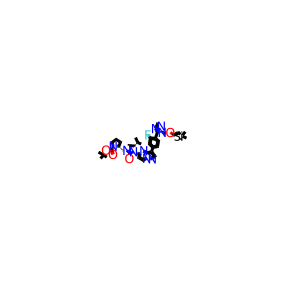 CC(C)[C@H]1CN(C[C@H]2CCCN2C(=O)OC(C)(C)C)C(=O)N1c1ccn2ncc(-c3ccc(-c4ncnn4COCC[Si](C)(C)C)c(F)c3)c2n1